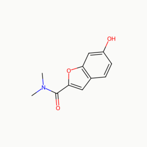 CN(C)C(=O)c1cc2ccc(O)cc2o1